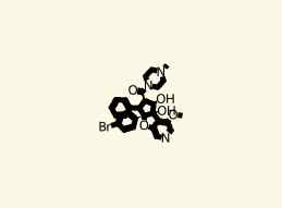 COc1cncc2c1[C@]1(O)[C@H](O)[C@H](C(=O)N3CCN(C)CC3)C(c3ccccc3)[C@]1(c1ccc(Br)cc1)O2